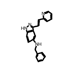 C(=Cc1n[nH]c2ccc(NCc3ccccc3)cc12)c1ccccn1